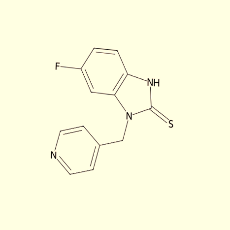 Fc1ccc2[nH]c(=S)n(Cc3ccncc3)c2c1